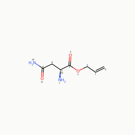 C=CCOC(=O)[C@@H](N)CC(N)=O